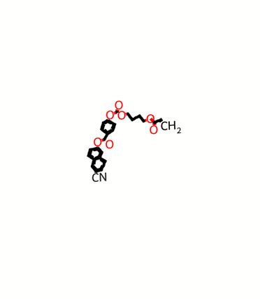 C=CC(=O)OCCCCOC(=O)Oc1ccc(C(=O)Oc2ccc3cc(C#N)ccc3c2)cc1